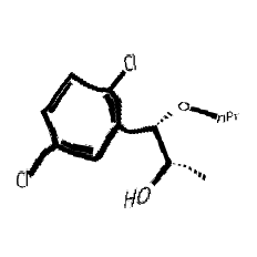 CCCO[C@@H](c1cc(Cl)ccc1Cl)[C@H](C)O